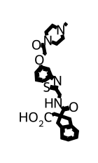 CN1CCN(C(=O)COc2ccc3sc(CNC(=O)C4(CC(=O)O)Cc5ccccc5C4)nc3c2)CC1